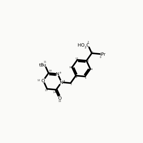 CC(C)C(C(=O)O)c1ccc(CN2N=C(C(C)(C)C)OCC2=O)cc1